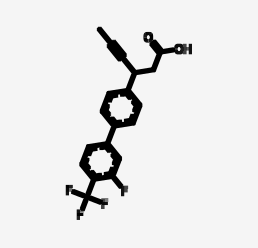 CC#CC(CC(=O)O)c1ccc(-c2ccc(C(F)(F)F)c(F)c2)cc1